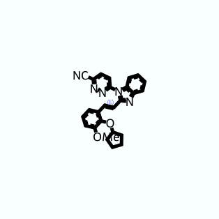 COc1cccc(/C=C/c2nc3ccccc3n2-c2ccc(C#N)nn2)c1OC1CCCC1